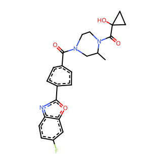 CC1CN(C(=O)c2ccc(-c3nc4ccc(F)cc4o3)cc2)CCN1C(=O)C1(O)CC1